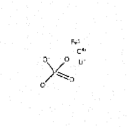 O=P([O-])([O-])[O-].[C+4].[Fe+2].[Li+]